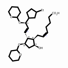 CCC1CCC([C@@H](/C=C/[C@@H]2[C@@H](C/C=C\CCCC(=O)O)[C@@H](O)C[C@H]2OC2CCCCO2)OC2CCCCO2)C1